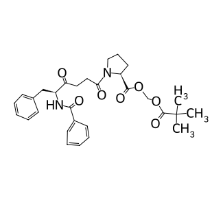 CC(C)(C)C(=O)OCOC(=O)[C@@H]1CCCN1C(=O)CCC(=O)[C@H](Cc1ccccc1)NC(=O)c1ccccc1